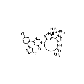 BC(B)(B)n1ncc2c1-c1ccnc(c1)[C@@H](n1cnc(-c3cc(Cl)ccc3-n3cc(Cl)nn3)cc1=O)CCC[C@@H](C)C(=O)N2